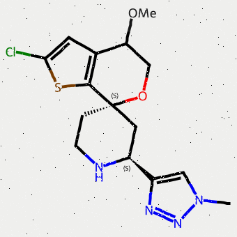 COC1CO[C@]2(CCN[C@H](c3cn(C)nn3)C2)c2sc(Cl)cc21